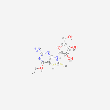 CCOc1nc(N)nc2c1sc(=S)n2[C@@H]1O[C@H](CO)[C@@H](O)[C@H]1O